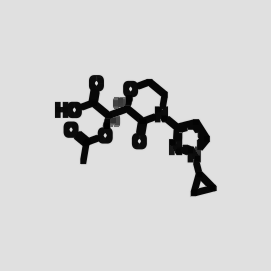 CC(=O)O[C@@H](C(=O)O)[C@H]1OCCN(c2ccn(C3CC3)n2)C1=O